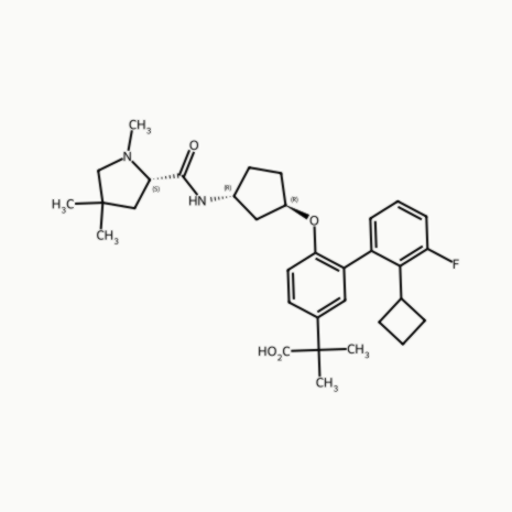 CN1CC(C)(C)C[C@H]1C(=O)N[C@@H]1CC[C@@H](Oc2ccc(C(C)(C)C(=O)O)cc2-c2cccc(F)c2C2CCC2)C1